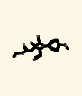 CCOC(=O)CC1(I)C(=O)N(c2ccc(OC)cc2)C1C=O